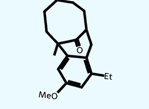 CCc1cc(OC)cc2c1CC1CCCCCC2(C)C1=O